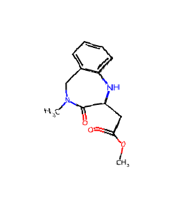 COC(=O)CC1Nc2ccccc2CN(C)C1=O